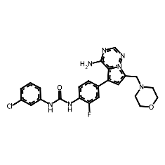 Nc1ncnn2c(CN3CCOCC3)cc(-c3ccc(NC(=O)Nc4cccc(Cl)c4)c(F)c3)c12